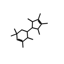 CC1=CC(C)(C)CC(C2C(C)C(C)=C(C)C2C)C1C